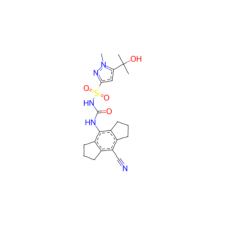 Cn1nc(S(=O)(=O)NC(=O)Nc2c3c(c(C#N)c4c2CCC4)CCC3)cc1C(C)(C)O